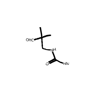 CCCCC(=O)NCC(C)(C)C=O